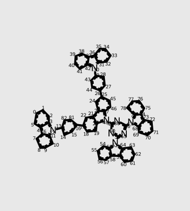 c1ccc2c(c1)c1ccccc1n2-c1ccc(-c2ccc3c(c2)c2cc(-c4ccc(-n5c6ccccc6c6ccccc65)cc4)ccc2n3-c2nc(-n3c4ccccc4c4ccccc43)nc(-n3c4ccccc4c4ccccc43)n2)cc1